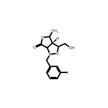 CC1OC(=O)C2[C@H]1C(CO)ON2Cc1cccc(I)c1